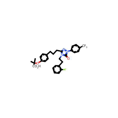 CC(C)(Oc1ccc(CCCc2nn(-c3ccc(C(F)(F)F)cc3)c(=O)n2CCc2ccccc2F)cc1)C(=O)O